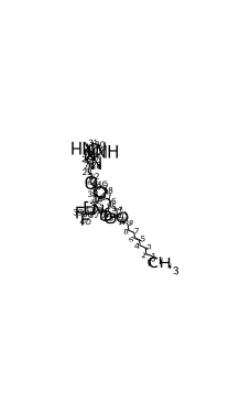 CCCCCCCCCCCOC(=O)C[C@@H]1Cc2ccc(OCCc3cn4c(n3)NCCN4)cc2CN(CC(F)(F)F)C1=O